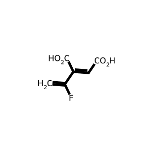 C=C(F)/C(=C/C(=O)O)C(=O)O